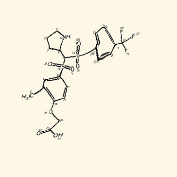 Cc1cc(S(=O)(=O)C(C2CCCN2)S(=O)(=O)c2ccc(C(F)(F)F)cc2)ccc1OCC(=O)O